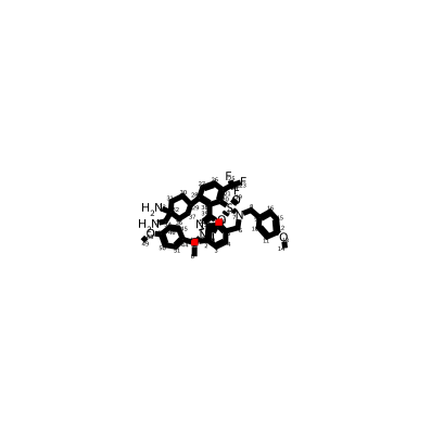 COc1ccc(CN(Cc2ccc(OC)cc2)S(=O)(=O)c2c(C(F)(F)F)ccc(C3CCC(N)(CN)CC3)c2-c2nnn(Cc3ccc(OC)cc3)n2)cc1